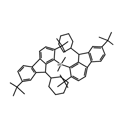 CC(C)(C)c1ccc2c(c1)C(C1CCCCC1)c1c-2ccc(C(C)(C)C)[c]1[Hf]([CH3])([CH3])[c]1c(C(C)(C)C)ccc2c1C(C1CCCCC1)c1cc(C(C)(C)C)ccc1-2